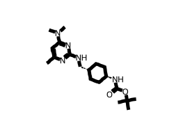 Cc1cc(N(C)C)nc(NC[C@H]2CC[C@@H](NC(=O)OC(C)(C)C)CC2)n1